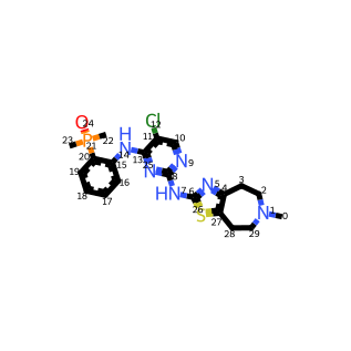 CN1CCc2nc(Nc3ncc(Cl)c(Nc4ccccc4P(C)(C)=O)n3)sc2CC1